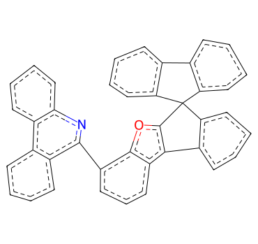 c1ccc2c(c1)-c1ccccc1C21c2ccccc2-c2c1oc1c(-c3nc4ccccc4c4ccccc34)cccc21